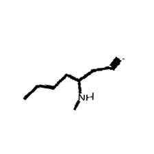 [CH]=CCC(CCCC)NC